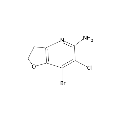 Nc1nc2c(c(Br)c1Cl)OCC2